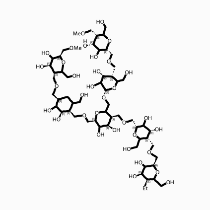 CC[C@@H]1C(CO)O[C@H](COC[C@@H]2C(CO)O[C@H](COC[C@@H]3C(CO[C@H]4OC(CO)[C@@H](COC[C@H]5OC(CO)[C@@H](COC)[C@@H](O)C5O)[C@@H](O)C4O)O[C@H](COC[C@@H]4C(CO)C[C@H](COC[C@@H]5C(CO)O[C@H](COC)C(O)[C@@H]5O)C(O)[C@@H]4O)C(O)[C@@H]3O)C(O)[C@@H]2O)C(O)[C@@H]1O